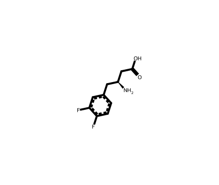 N[C@H](CC(=O)O)Cc1ccc(F)c(F)c1